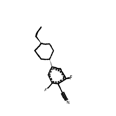 CC[C@H]1CC[C@H](c2cc(F)c(C#N)c(F)c2)CC1